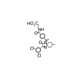 CC1CCC2(CC1)N=C(c1cc(Cl)cc(Cl)c1)C(=O)N2[C@H](C)c1ccc(C(=O)NCCC(=O)O)cc1